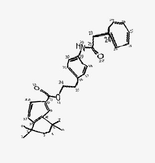 CC1(C)CCC(C)(C)c2cc(C(=O)OCCc3ccc(NC(=O)Cc4ccccc4)cc3)ccc21